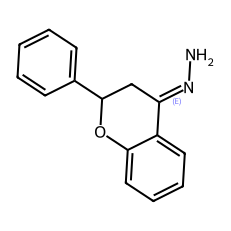 N/N=C1\CC(c2ccccc2)Oc2ccccc21